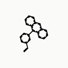 C=Cc1cccc(-c2c3ccccc3cc3ccccc23)c1